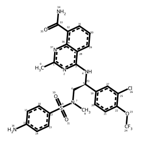 Cc1nc(N[C@H](CN(C)S(=O)(=O)c2ccc(N)cc2)c2ccc(OC(F)(F)F)c(Cl)c2)c2cccc(C(N)=O)c2n1